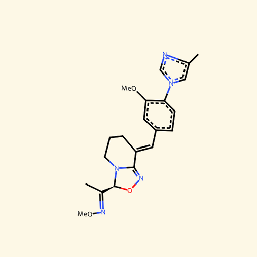 CO/N=C(\C)[C@@H]1ON=C2/C(=C/c3ccc(-n4cnc(C)c4)c(OC)c3)CCCN21